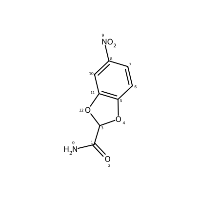 NC(=O)C1Oc2ccc([N+](=O)[O-])cc2O1